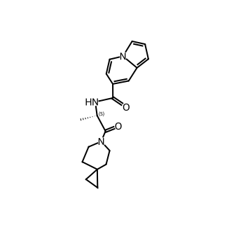 C[C@H](NC(=O)c1ccn2cccc2c1)C(=O)N1CCC2(CC1)CC2